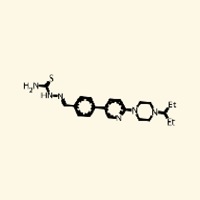 CCC(CC)N1CCN(c2ccc(-c3ccc(C=NNC(N)=S)cc3)cn2)CC1